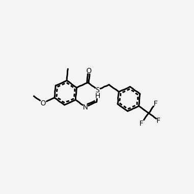 COc1cc(C)c2c(c1)N=C[SH](Cc1ccc(C(F)(F)F)cc1)C2=O